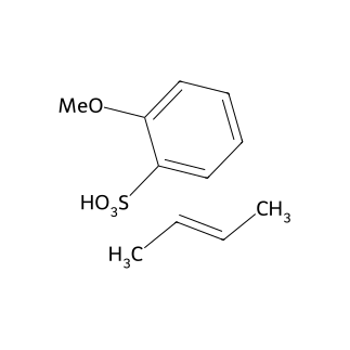 CC=CC.COc1ccccc1S(=O)(=O)O